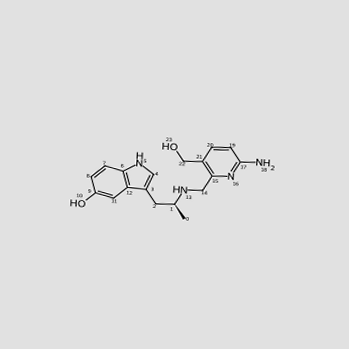 C[C@@H](Cc1c[nH]c2ccc(O)cc12)NCc1nc(N)ccc1CO